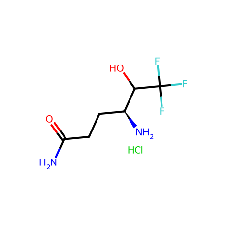 Cl.NC(=O)CC[C@H](N)C(O)C(F)(F)F